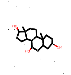 CC12CCC3C(C(O)CC4C[C@H](O)CCC43C)C1CCC2O